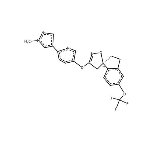 Cn1cc(-c2ccc(OC3=NO[C@]4(CCc5cc(OC(F)(F)F)ccc54)C3)cn2)cn1